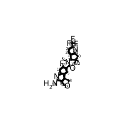 CN(C(=O)c1cc2c3c(c(N)nc2cc1F)COC3)[C@@H]1c2ccc(C(F)(F)F)nc2CC1(C)C